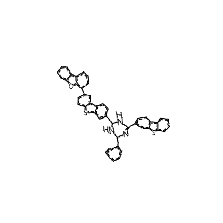 c1ccc(C2N=C(c3ccc4c(c3)sc3ccccc34)NC(c3ccc4c(c3)sc3ccc(-c5cccc6c5oc5ccccc56)cc34)N2)cc1